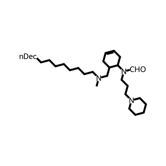 CCCCCCCCCCCCCCCCCCN(C)CC1CC=CCC1N(C=O)CCCN1CCCCC1